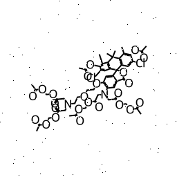 CC(=O)OCOC(=O)CN(CCOCCOc1cc2c(cc1N(CC(=O)OCOC(C)=O)CC(=O)OCOC(C)=O)C(=O)OC21c2cc(Cl)c(OC(C)=O)c(C)c2C(C)(C)c2c1cc(Cl)c(OC(C)=O)c2C)CC(=O)OCOC(C)=O